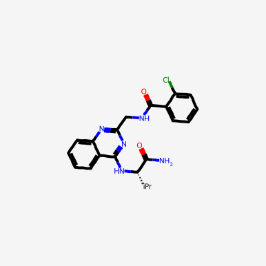 CC(C)[C@H](Nc1nc(CNC(=O)c2ccccc2Cl)nc2ccccc12)C(N)=O